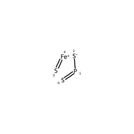 S=P[S-].[S]=[Fe+]